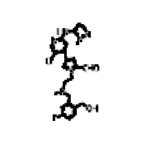 CN(CCn1cc(-c2cc(Nc3ccnn3C)ncc2Cl)cc1C=O)Cc1cc(F)ccc1CO